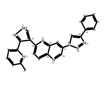 Cc1cccc(-c2n[nH]cc2-c2ccc3ncc(-n4cc(-c5ccccc5)nn4)cc3n2)n1